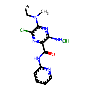 CC(C)CN(C)c1nc(N)c(C(=O)Nc2ccccn2)nc1Cl.Cl